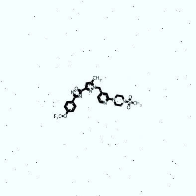 Cc1cc(-c2nc(-c3ccc(OC(F)(F)F)cc3)no2)nn1Cc1ccnc(N2CCN(S(C)(=O)=O)CC2)c1